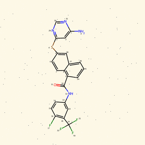 Nc1cc(Sc2ccc3c(C(=O)Nc4ccc(F)c(C(F)(F)F)c4)cccc3c2)ncn1